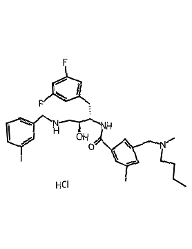 CCCCN(C)Cc1cc(C)cc(C(=O)N[C@@H](Cc2cc(F)cc(F)c2)[C@@H](O)CNCc2cccc(I)c2)c1.Cl